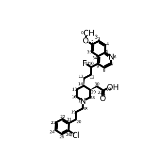 COc1ccc2nccc(C(F)CC[C@@H]3CCN(CCCc4ccccc4Cl)C[C@@H]3CC(=O)O)c2c1